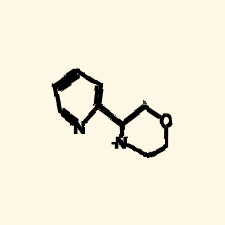 [CH]1OCC[N]C1c1ccccn1